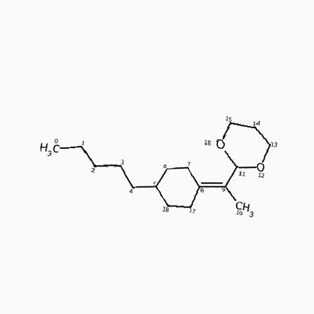 CCCCCC1CCC(=C(C)C2OCCCO2)CC1